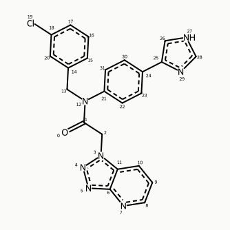 O=C(Cn1nnc2ncccc21)N(Cc1cccc(Cl)c1)c1ccc(-c2c[nH]cn2)cc1